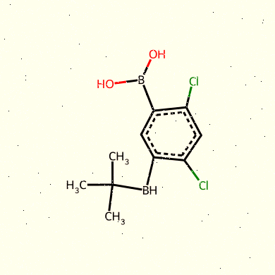 CC(C)(C)Bc1cc(B(O)O)c(Cl)cc1Cl